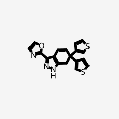 C1=CC(c2ccsc2)(c2ccsc2)Cc2[nH]nc(-c3ncco3)c21